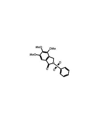 COc1cc2c(c(OC)c1OC)CN(S(=O)(=O)c1ccccc1)C2=O